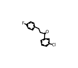 O=C(CCc1ccc(F)cc1)c1cccc(Cl)c1